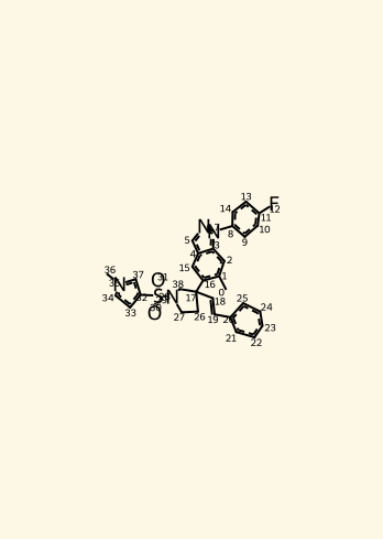 Cc1cc2c(cnn2-c2ccc(F)cc2)cc1C1(/C=C/c2ccccc2)CCN(S(=O)(=O)c2ccn(C)c2)C1